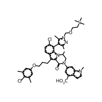 Cc1cc(OCCCc2c3n(c4c(-c5c(C)nn(COCC[Si](C)(C)C)c5C)c(Cl)ccc24)C(C)CN(c2cc(C(=O)O)c4ccn(C)c4c2)C3=O)cc(C)c1Cl